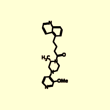 COc1cnccc1N1CCN(C(=O)CCCc2cccc3ncccc23)[C@@H](C)C1